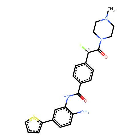 CN1CCN(C(=O)[C@H](F)c2ccc(C(=O)Nc3cc(-c4cccs4)ccc3N)cc2)CC1